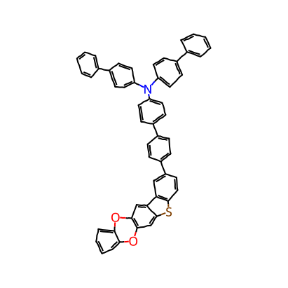 c1ccc(-c2ccc(N(c3ccc(-c4ccccc4)cc3)c3ccc(-c4ccc(-c5ccc6sc7cc8c(cc7c6c5)Oc5ccccc5O8)cc4)cc3)cc2)cc1